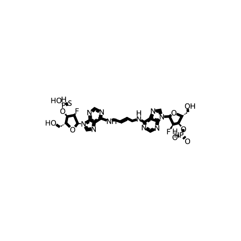 O=[PH](O)O[C@@H]1[C@@H](CO)OC(n2cnc3c(NC/C=C/CNc4ncnc5c4ncn5[C@@H]4O[C@H](CO)[C@@H](O[PH](O)=S)[C@H]4F)ncnc32)[C@@H]1F